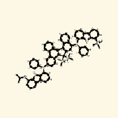 CC(C)Sc1cccc2c1oc1c(N(c3ccccc3)c3ccc4c5c(c6ccccc6c4c3)-c3c(cc(N(c4ccccc4)c4cccc6c4oc4c([Si](C)(C)C)cccc46)c4ccccc34)C5([Si](C)(C)C)[Si](C)(C)C)cccc12